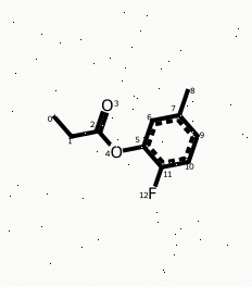 CCC(=O)Oc1cc(C)ccc1F